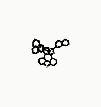 C1=Cc2oc3cccc(-c4cccc5oc6ccccc6c45)c3c2C(c2nc(-c3ccc4ccccc4c3)nc(-c3ccc4ccccc4c3)n2)C1